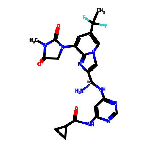 CN1C(=O)CN(c2cc(C(C)(F)F)cn3cc([C@@H](N)Nc4cc(NC(=O)C5CC5)ncn4)nc23)C1=O